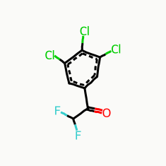 O=C(c1cc(Cl)c(Cl)c(Cl)c1)C(F)F